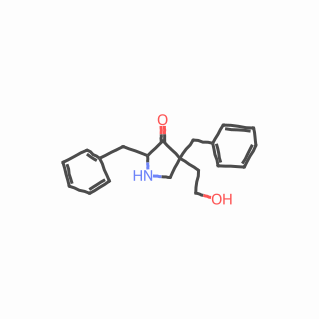 O=C1C(Cc2ccccc2)NCC1(CCO)Cc1ccccc1